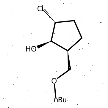 CCCCOC[C@@H]1CC[C@@H](Cl)[C@@H]1O